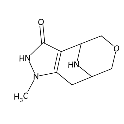 Cn1[nH]c(=O)c2c1CC1COCC2N1